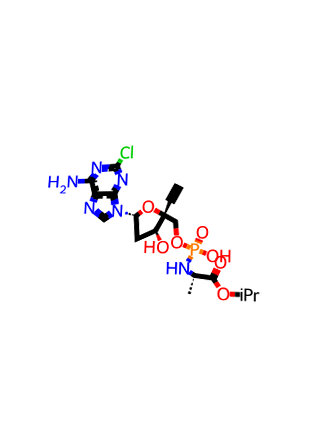 C#C[C@]1(COP(=O)(O)N[C@@H](C)C(=O)OC(C)C)O[C@@H](n2cnc3c(N)nc(Cl)nc32)C[C@@H]1O